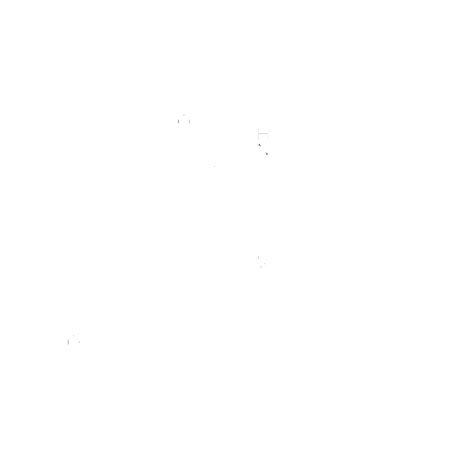 O=Cc1ccc2c(c1)Sc1ccccc1NC2=O